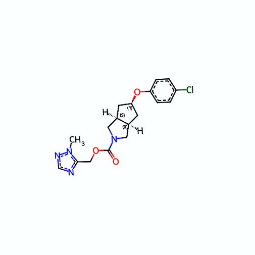 Cn1ncnc1COC(=O)N1C[C@H]2C[C@@H](Oc3ccc(Cl)cc3)C[C@H]2C1